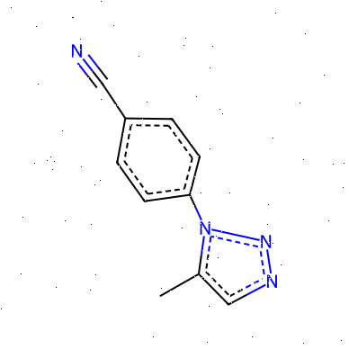 Cc1cnnn1-c1ccc(C#N)cc1